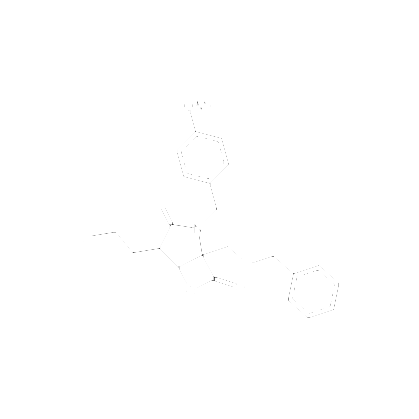 COc1ccc(CN2C(=O)C(CCCl)[C@]3(C)OC(=O)C23COCc2ccccc2)cc1